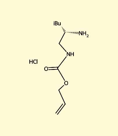 C=CCOC(=O)NC[C@@H](N)[C@@H](C)CC.Cl